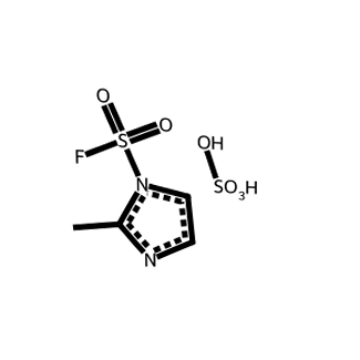 Cc1nccn1S(=O)(=O)F.O=S(=O)(O)O